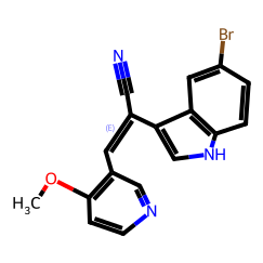 COc1ccncc1/C=C(/C#N)c1c[nH]c2ccc(Br)cc12